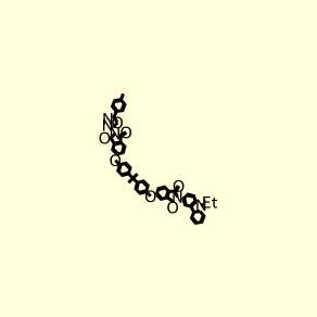 CCN1c2ccc(N3C(=O)c4ccc(Oc5ccc(C(C)(C)c6ccc(Oc7ccc8c(c7)C(=O)N(c7nnc(-c9ccc(C)cc9)o7)C8=O)cc6)cc5)cc4C3=O)cc2C2C=CC=CC21